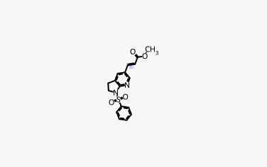 COC(=O)/C=C/c1cnc2c(c1)CCN2S(=O)(=O)c1ccccc1